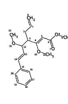 C=CCC(/C(=C/C(=O)OC)OC)C(/C=C/c1ccccc1)OC